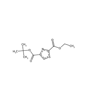 CCOC(=O)c1nc(C(=O)OC(C)(C)C)cs1